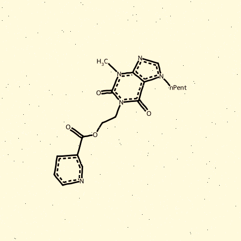 CCCCCn1cnc2c1c(=O)n(CCOC(=O)c1cccnc1)c(=O)n2C